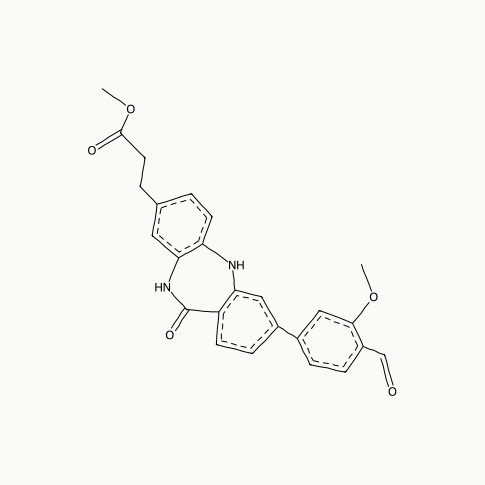 COC(=O)CCc1ccc2c(c1)NC(=O)c1ccc(-c3ccc(C=O)c(OC)c3)cc1N2